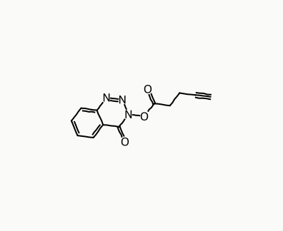 C#CCCC(=O)On1nnc2ccccc2c1=O